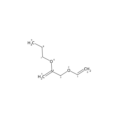 C=COCC(=C)OCCC